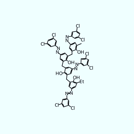 CCc1cc(N=Nc2cc(Cl)cc(Cl)c2)cc(Cc2cc(N=Nc3cc(Cl)cc(Cl)c3)cc(Cc3cc(N=Nc4cc(Cl)cc(Cl)c4)cc(Cc4cc(N=Nc5cc(Cl)cc(Cl)c5)cc(C)c4O)c3O)c2O)c1O